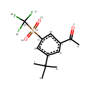 CC(=O)c1cc(C(C)(C)C)cc(S(=O)(=O)C(F)(F)F)c1